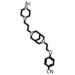 CC(=O)N1CCN(CCCN2CC3CC(C2)CN(CCOc2ccc(C#N)cc2)C3)CC1